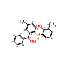 Cc1ccc(Pc2cccc(C)c2O)c(C(O)c2ccccc2)c1